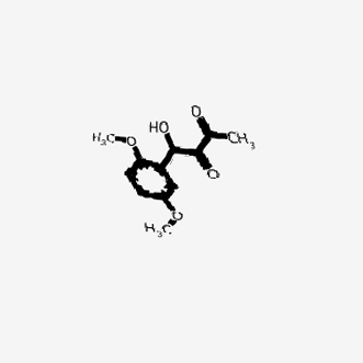 COc1ccc(OC)c(C(O)C(=O)C(C)=O)c1